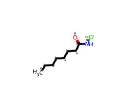 CCCCCCCC(=O)NCl